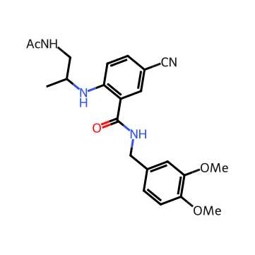 COc1ccc(CNC(=O)c2cc(C#N)ccc2NC(C)CNC(C)=O)cc1OC